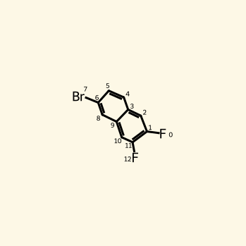 Fc1cc2ccc(Br)cc2cc1F